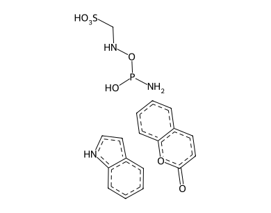 NP(O)ONCS(=O)(=O)O.O=c1ccc2ccccc2o1.c1ccc2[nH]ccc2c1